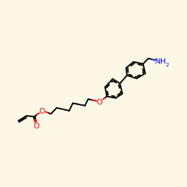 C=CC(=O)OCCCCCCOc1ccc(-c2ccc(CN)cc2)cc1